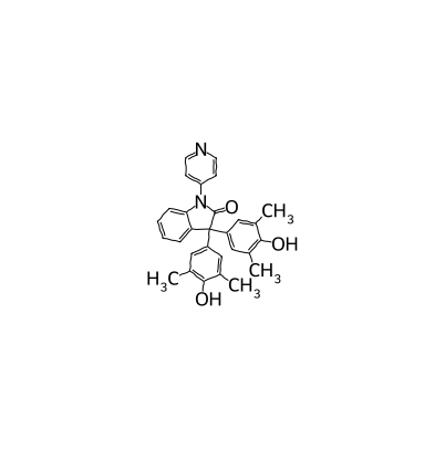 Cc1cc(C2(c3cc(C)c(O)c(C)c3)C(=O)N(c3ccncc3)c3ccccc32)cc(C)c1O